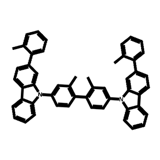 Cc1ccccc1-c1ccc2c3ccccc3n(-c3ccc(-c4ccc(-n5c6ccccc6c6ccc(-c7ccccc7C)cc65)cc4C)c(C)c3)c2c1